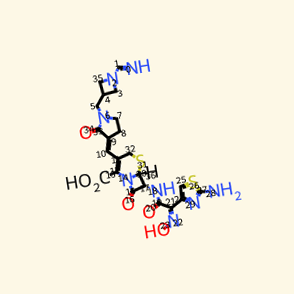 N=CN1CC(CN2CCC(=CC3=C(C(=O)O)N4C(=O)[C@@H](NC(=O)/C(=N\O)c5csc(N)n5)[C@H]4SC3)C2=O)C1